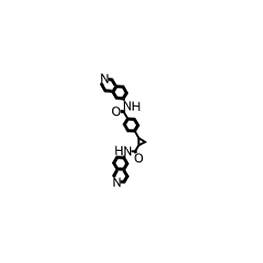 O=C(Nc1ccc2cnccc2c1)c1ccc(C2CC2C(=O)Nc2ccc3cnccc3c2)cc1